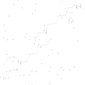 NCC(N)CCCN1CCN(CCCn2cccc(O)c2=O)CC1